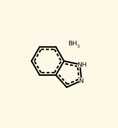 B.c1ccc2[nH]ncc2c1